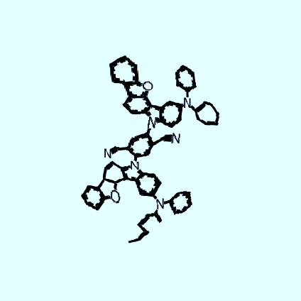 C=C(/C=C\C=C/C)N(c1ccccc1)c1ccc2c(c1)c1c(n2-c2cc(C#N)c(-n3c4ccc(N(C5=CCCC=CC5)c5ccccc5)cc4c4c5oc6ccccc6c5ccc43)cc2C#N)C=CC2c3ccccc3OC12